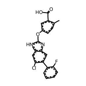 Cc1ccc(Oc2nc3cc(-c4ccccc4F)c(Cl)cc3[nH]2)cc1C(=O)O